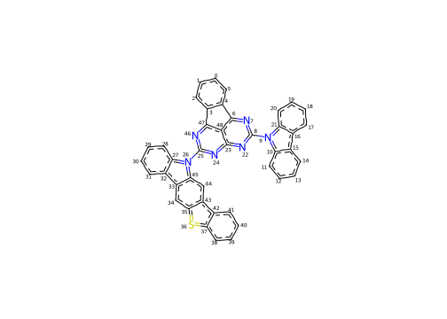 c1ccc2c(c1)-c1nc(-n3c4ccccc4c4ccccc43)nc3nc(-n4c5ccccc5c5cc6sc7ccccc7c6cc54)nc-2c13